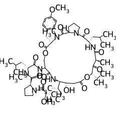 CC[C@H](C)[C@H]1NC(=O)C(NC(=O)[C@@H](CC(C)C)N(C)C(=O)[C@@H]2CCCN2C(=O)[C@H](C)O)COC(=O)[C@H](Cc2ccc(OC)cc2)N(C)C(=O)[C@@H]2CCCN2C(=O)[C@H](CC(C)C)NC(=O)[C@@H](C)C(=O)[C@H](C(C)C)OC(=O)C[C@@H]1O